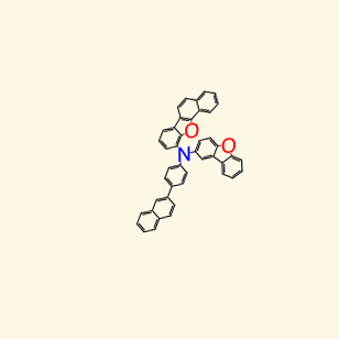 c1ccc2cc(-c3ccc(N(c4ccc5oc6ccccc6c5c4)c4cccc5c4oc4c6ccccc6ccc54)cc3)ccc2c1